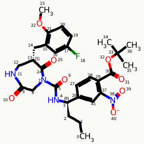 CCC[C@@H](NC(=O)N1CC(=O)NC[C@H](Cc2cc(F)ccc2OC)C1=O)c1ccc(C(=O)OC(C)(C)C)c([N+](=O)[O-])c1